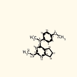 COc1ccc(N(C)c2nc(SC)nc3c2CCC3)cc1